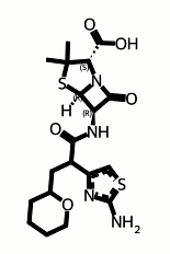 CC1(C)S[C@@H]2[C@H](NC(=O)C(CC3CCCCO3)c3csc(N)n3)C(=O)N2[C@H]1C(=O)O